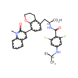 CC[C@@H](Nc1cc(F)c(C(=O)N[C@@H](Cc2ccc(-c3cc4ccccc4n(C)c3=O)c3c2CCCO3)C(=O)O)c(F)c1)C(F)(F)F